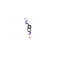 C=C(/C=C\C(=C)[N+](=O)[O-])c1ccc2c(c1)CC/C(=C\C(=O)OCC)C2